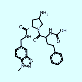 Cn1nnc2cc(CNC(=O)[C@@H]3CC(N)CN3C(=O)C(CCc3ccccc3)NC(=O)O)ccc21